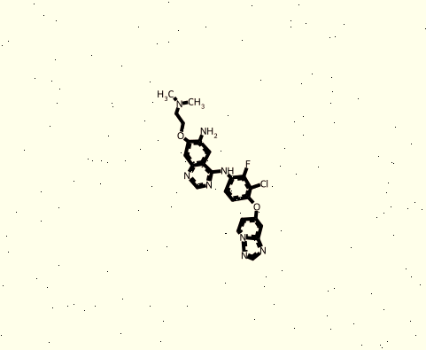 CN(C)CCOc1cc2ncnc(Nc3ccc(Oc4ccn5ncnc5c4)c(Cl)c3F)c2cc1N